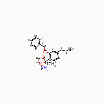 CC(C)CCc1ccc(C2(C)OCCO2)c(OCc2ccccc2)c1.N